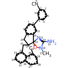 [C-]#[N+]c1cccc(-c2ccc3c(c2)C2(N=C(N)N(C)O2)C2(C3)Cc3cccc4cccc(c34)C2)c1